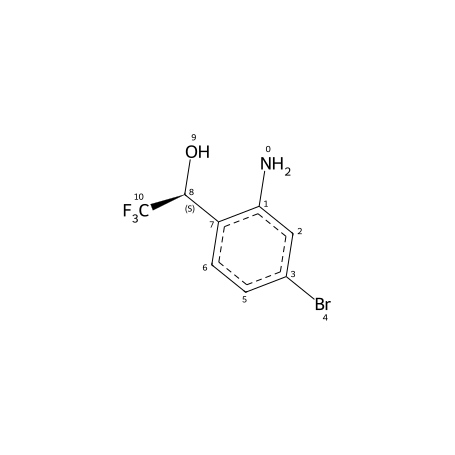 Nc1cc(Br)ccc1[C@H](O)C(F)(F)F